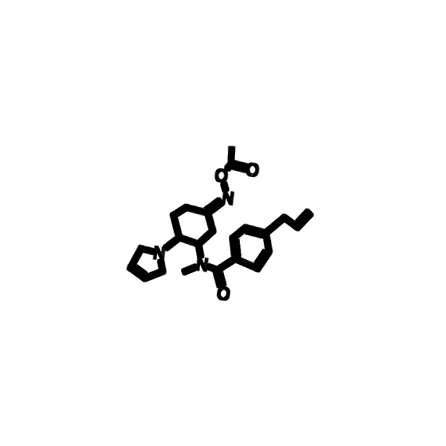 C=CCc1ccc(C(=O)N(C)C2CC(=NOC(C)=O)CCC2N2CC=CC2)cc1